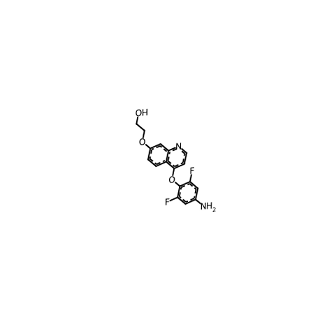 Nc1cc(F)c(Oc2ccnc3cc(OCCO)ccc23)c(F)c1